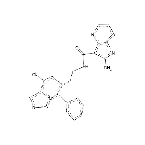 Nc1nn2cccnc2c1C(=O)NCCc1cc(Cl)c2cncn2c1-c1ccccc1